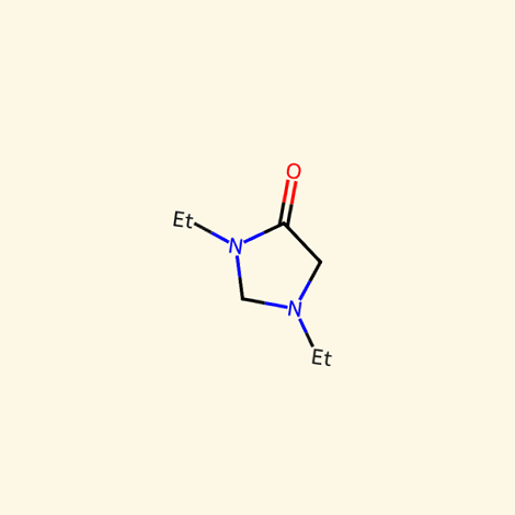 CCN1CC(=O)N(CC)C1